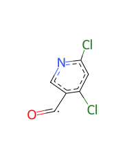 O=[C]c1cnc(Cl)cc1Cl